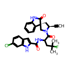 C#C[C@@H]1C[C@@]2(CN1C(=O)C(CC(C)(C)F)NC(=O)c1cc3ccc(Cl)cc3[nH]1)C(=O)Nc1ccccc12